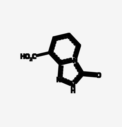 O=C(O)c1cccn2c(=O)[nH]nc12